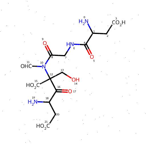 NC(CC(=O)O)C(=O)NCC(=O)N(C=O)C(CO)(C(=O)O)C(=O)C(N)CC(=O)O